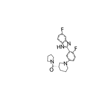 O=C([C@H]1CCCN(c2ccc(F)c(-c3nc4cc(F)ccc4[nH]3)c2)C1)N1CCCC1